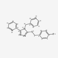 Fc1ccc(CSc2nnc(-c3ccccn3)n2Cc2cccnc2)cc1